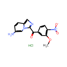 COc1cc(C(=O)c2ncc3ccc(N)cn23)ccc1[N+](=O)[O-].Cl